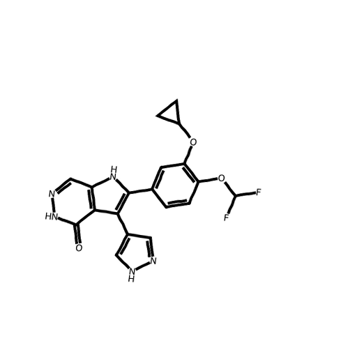 O=c1[nH]ncc2[nH]c(-c3ccc(OC(F)F)c(OC4CC4)c3)c(-c3cn[nH]c3)c12